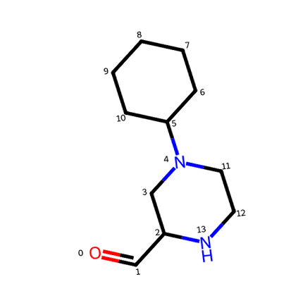 O=CC1CN(C2CCCCC2)CCN1